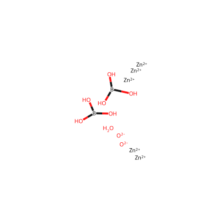 O.OB(O)O.OB(O)O.[O-2].[O-2].[Zn+2].[Zn+2].[Zn+2].[Zn+2].[Zn+2]